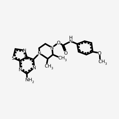 COc1ccc(NC(=O)ON2CCN(c3nc(N)nc4scnc34)C(C)C2C)cc1